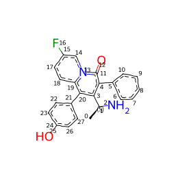 C[C@H](N)c1c(-c2ccccc2)c(=O)n2cc(F)ccc2c1-c1ccc(O)cc1